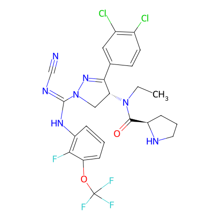 CCN(C(=O)[C@H]1CCCN1)[C@@H]1CN(/C(=N\C#N)Nc2cccc(OC(F)(F)F)c2F)N=C1c1ccc(Cl)c(Cl)c1